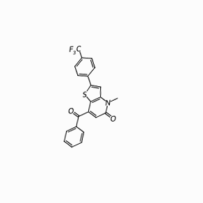 Cn1c(=O)cc(C(=O)c2ccccc2)c2sc(-c3ccc(C(F)(F)F)cc3)cc21